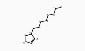 CCCCCCCCC1[CH]CC=C1